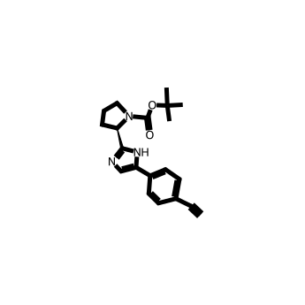 C#Cc1ccc(-c2cnc([C@H]3CCCN3C(=O)OC(C)(C)C)[nH]2)cc1